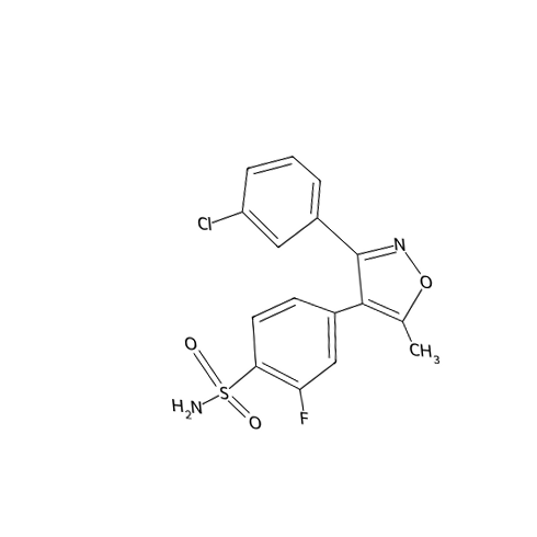 Cc1onc(-c2cccc(Cl)c2)c1-c1ccc(S(N)(=O)=O)c(F)c1